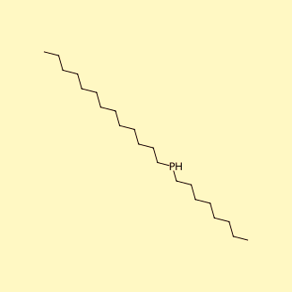 CCCCCCCCCCCCCPCCCCCCCC